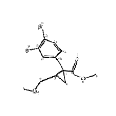 CNCC1CC1(C(=O)OC)c1ccc(Br)c(Br)c1